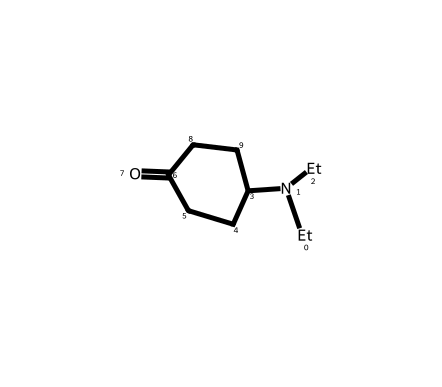 CCN(CC)C1CCC(=O)CC1